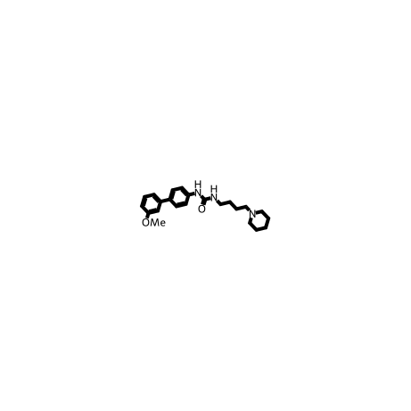 COc1cccc(-c2ccc(NC(=O)NCCCCN3CCCCC3)cc2)c1